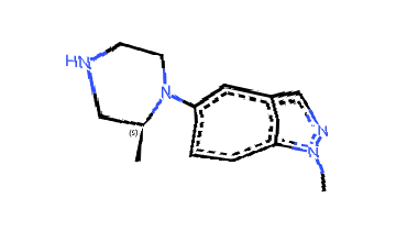 C[C@H]1CNCCN1c1ccc2c(cnn2C)c1